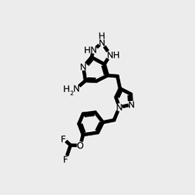 Nc1cc(Cc2cnn(Cc3cccc(OC(F)F)c3)c2)c2c(n1)NNN2